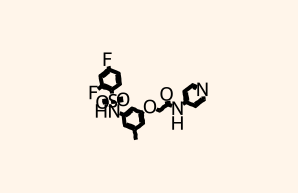 Cc1cc(NS(=O)(=O)c2ccc(F)cc2F)cc(OCC(=O)Nc2ccncc2)c1